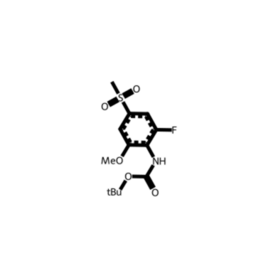 COc1cc(S(C)(=O)=O)cc(F)c1NC(=O)OC(C)(C)C